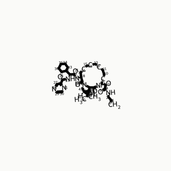 C=CCNC(=O)C(=O)[C@@H]1CCCCCCCCC[C@H](NC(=O)[C@@H](NC(=O)c2cnccn2)C2CCCCC2)C(=O)N2C[C@H]3[C@@H]([C@H]2C(=O)N1)C3(C)C